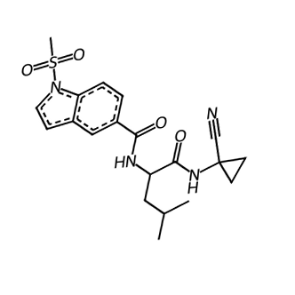 CC(C)CC(NC(=O)c1ccc2c(ccn2S(C)(=O)=O)c1)C(=O)NC1(C#N)CC1